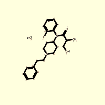 CC(CO)C(=O)N(c1ccccc1F)C1CCN(CCc2ccccc2)CC1.Cl